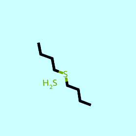 CCCCSCCCC.S